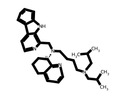 CC(C)CN(CCCCN(Cc1nccc2c1[nH]c1ccccc12)[C@H]1CCCc2cccnc21)CC(C)C